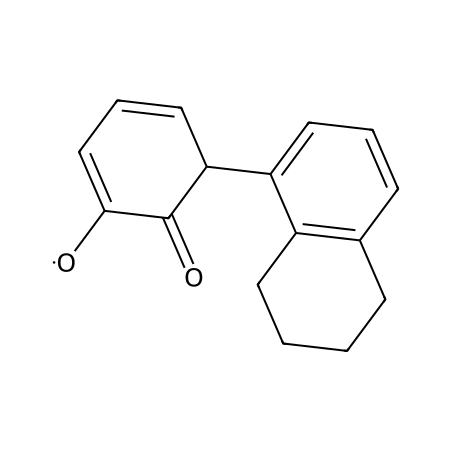 [O]C1=CC=CC(c2cccc3c2CCCC3)C1=O